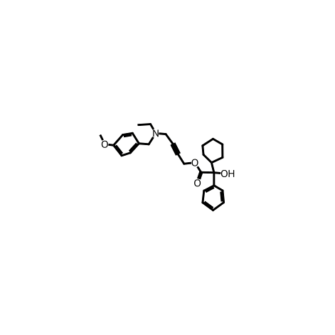 CCN(CC#CCOC(=O)C(O)(c1ccccc1)C1CCCCC1)Cc1ccc(OC)cc1